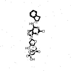 O=P(O)(O)CS(=O)(=O)C[C@H]1O[C@@H](n2nnc3c(N[C@H]4CCc5ccccc54)nc(Cl)nc32)C[C@@H]1O